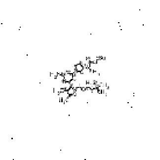 Cc1nn(COCC[Si](C)(C)C)c(-c2cc(N3CC[C@@H](N(C)C(=O)OC(C)(C)C)C3)nc(N)n2)c1C